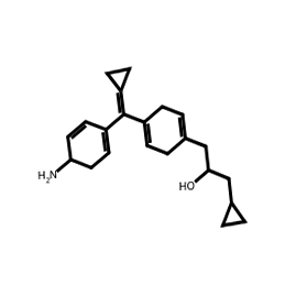 NC1C=CC(C(C2=CCC(CC(O)CC3CC3)=CC2)=C2CC2)=CC1